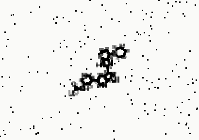 CCC(=O)Nc1cncc(-c2cnc3[nH]nc(-c4nc5c(N6CCCCC6)ccnc5[nH]4)c3c2)c1